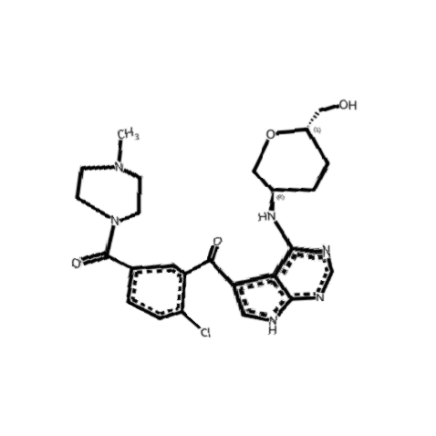 CN1CCN(C(=O)c2ccc(Cl)c(C(=O)c3c[nH]c4ncnc(N[C@@H]5CC[C@@H](CO)OC5)c34)c2)CC1